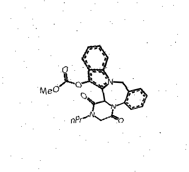 CCCN1CC(=O)N2c3ccccc3Cn3c(c(OC(=O)OC)c4ccccc43)C2C1=O